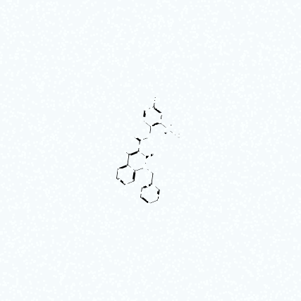 Cc1cnc(NC(=O)c2c(O)c3ccccc3n(Cc3ccccc3)c2=O)c(S(N)(=O)=O)c1